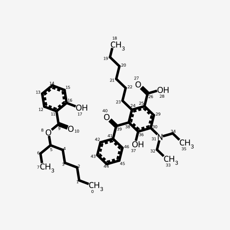 CCCCCC(CC)OC(=O)c1ccccc1O.CCCCCCc1c(C(=O)O)cc(N(CC)CC)c(O)c1C(=O)c1ccccc1